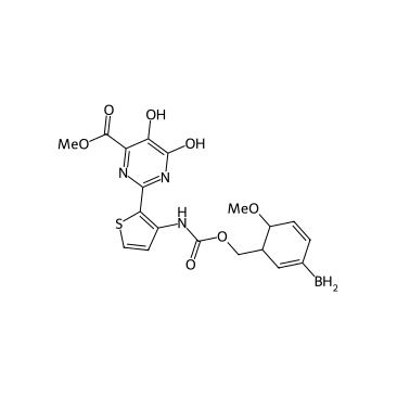 BC1=CC(COC(=O)Nc2ccsc2-c2nc(O)c(O)c(C(=O)OC)n2)C(OC)C=C1